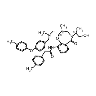 Cc1ccc(CC(=O)Nc2cccc3c2O[C@H](CN(C)Cc2ccc(Oc4ccc(C)cc4)cc2)[C@H](C)CN([C@@H](C)CO)C3=O)cc1